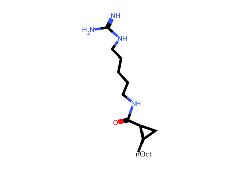 CCCCCCCCC1CC1C(=O)NCCCCCNC(=N)N